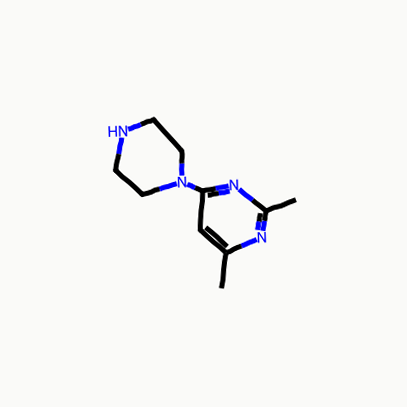 Cc1cc(N2CCNCC2)nc(C)n1